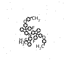 C=Cc1ccc(Oc2ccc(C3(c4ccc(F)cc4)c4ccccc4-c4ccc(N(c5ccc6c(c5)C(C)(C)c5ccccc5-6)c5ccc6c(c5)C(c5ccc(F)cc5)(c5ccc(Oc7ccc(C=C)cc7)cc5)c5ccccc5-6)cc43)cc2)cc1